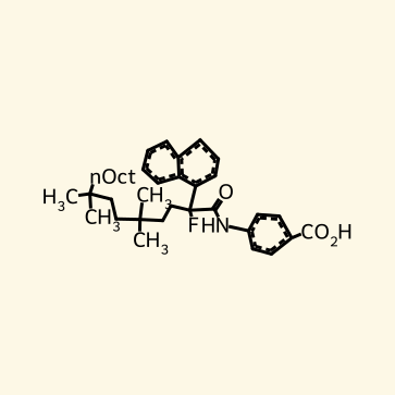 CCCCCCCCC(C)(C)CCC(C)(C)CCC(F)(C(=O)Nc1ccc(C(=O)O)cc1)c1cccc2ccccc12